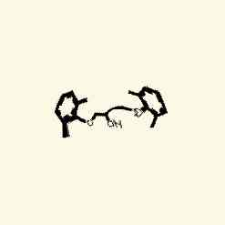 Cc1cccc(C)c1OCC(O)COc1c(C)cccc1C